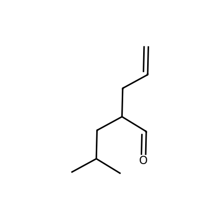 C=CCC(C=O)CC(C)C